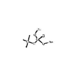 CCC(C)O[Si](Cl)(OC(C)CC)O[Si](C)(C)C